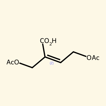 CC(=O)OC/C=C(/COC(C)=O)C(=O)O